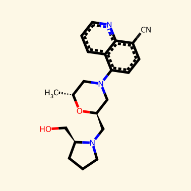 C[C@@H]1CN(c2ccc(C#N)c3ncccc23)C[C@@H](CN2CCC[C@H]2CO)O1